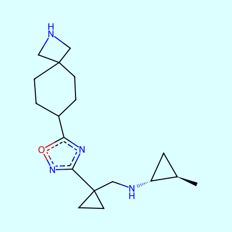 C[C@@H]1C[C@H]1NCC1(c2noc(C3CCC4(CC3)CNC4)n2)CC1